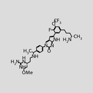 COCC[C@H](CCN[C@@H](C)c1ccc(-n2cc3cc(-c4cc(CCC[C@H](C)N)cc(OC(F)(F)F)c4F)[nH]c3nc2=O)cc1)NC(=N)N